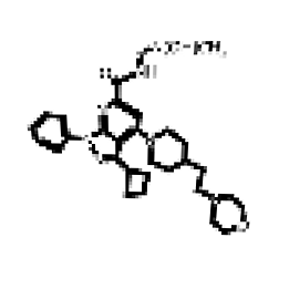 CN(O)SNC(=O)c1cc(N2CCC(CCN3CCOCC3)CC2)c2c(C3CCC3)nn(-c3ccccc3)c2n1